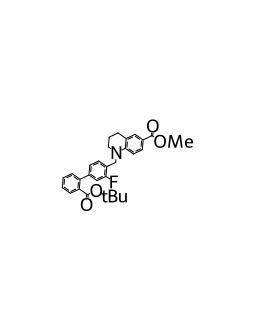 COC(=O)c1ccc2c(c1)CCCN2Cc1ccc(-c2ccccc2C(=O)OC(C)(C)C)cc1F